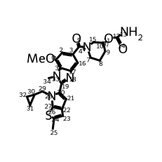 COc1cc(C(=O)N2CCC[C@@H](OC(N)=O)C2)cc2nc(-c3cc4cc(C)sc4n3CC3CC3)n(C)c12